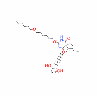 C=C.C=C.C=C.C=C.C=C.CCCC(C)C1(CC)C(=O)N=C([O-])NC1=O.CCCCCCOCCCCCC.OCCO.[Na+]